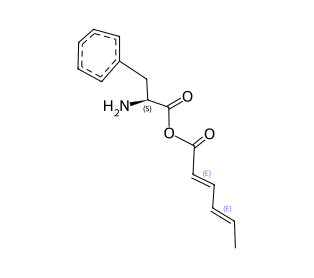 C/C=C/C=C/C(=O)OC(=O)[C@@H](N)Cc1ccccc1